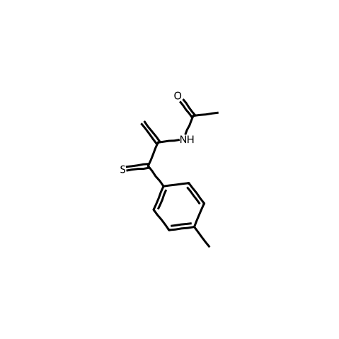 C=C(NC(C)=O)C(=S)c1ccc(C)cc1